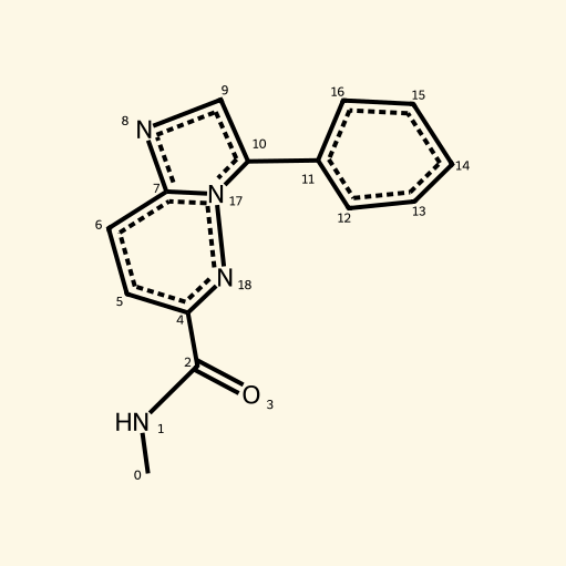 CNC(=O)c1ccc2ncc(-c3ccccc3)n2n1